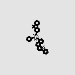 CC1(C)c2ccccc2-c2ccc(-c3nc(-c4ccccc4)nc(-c4cccc5c4ccc4ccc6c7ccccc7sc6c45)n3)cc21